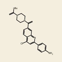 C=C(CCCC)N1CCN(C(=C)c2ccc3c(Cl)cc(-c4ccc(N)cc4)nc3c2)CC1